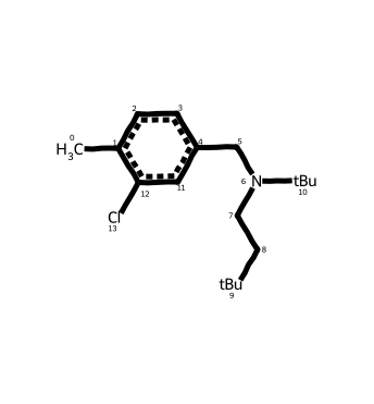 Cc1ccc(CN(CCC(C)(C)C)C(C)(C)C)cc1Cl